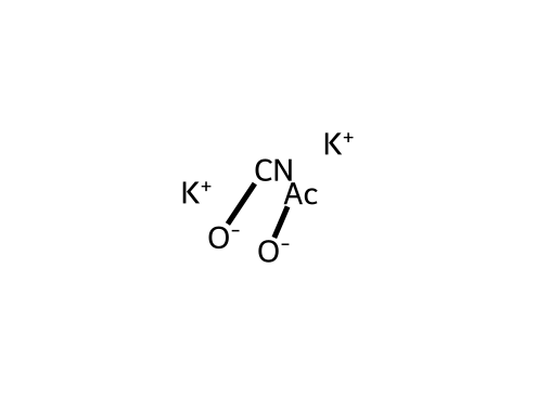 CC(=O)[O-].N#C[O-].[K+].[K+]